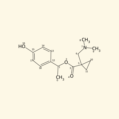 CC(OC(=O)C1(CN(C)C)CC1)c1ccc(O)cc1